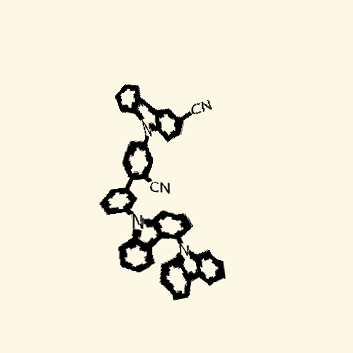 N#Cc1ccc2c(c1)c1ccccc1n2-c1ccc(-c2cccc(-n3c4ccccc4c4c(-n5c6ccccc6c6ccccc65)cccc43)c2)c(C#N)c1